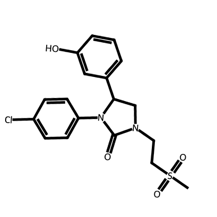 CS(=O)(=O)CCN1CC(c2cccc(O)c2)N(c2ccc(Cl)cc2)C1=O